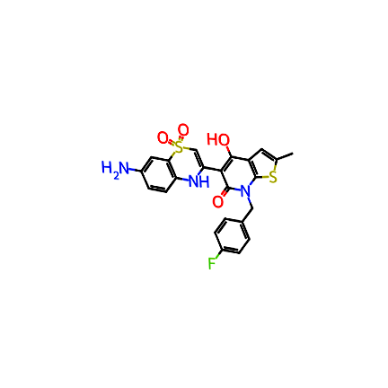 Cc1cc2c(O)c(C3=CS(=O)(=O)c4cc(N)ccc4N3)c(=O)n(Cc3ccc(F)cc3)c2s1